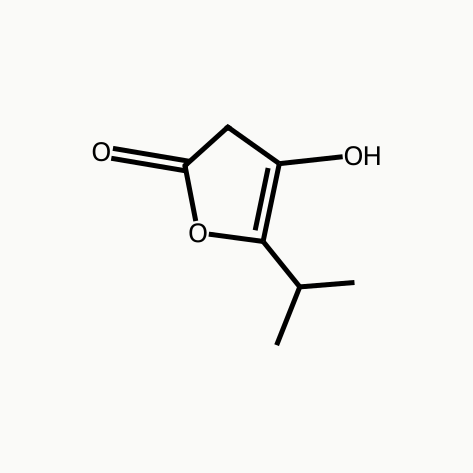 CC(C)C1=C(O)CC(=O)O1